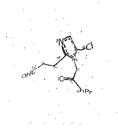 CCCC(=O)Cn1c(Cl)cnc1CCC=O